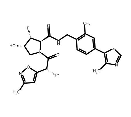 Cc1cc([C@H](C(=O)N2C[C@H](O)[C@H](F)[C@H]2C(=O)NCc2ccc(-c3scnc3C)cc2C)C(C)C)on1